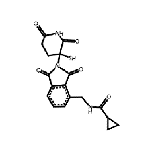 O=C1CCC(S)(N2C(=O)c3cccc(CNC(=O)C4CC4)c3C2=O)C(=O)N1